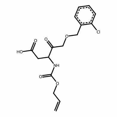 C=CCOC(=O)NC(CC(=O)O)C(=O)COCc1ccccc1Cl